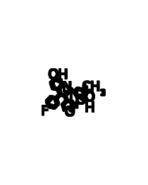 CC(CNc1nc2cc(O)ccc2c(-c2ccc(F)cc2)c1C1CCOCC1)C(=O)O